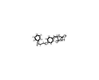 CN(CCOc1ccc(C=C2SC(=O)NC2=O)cc1)c1ccccc1